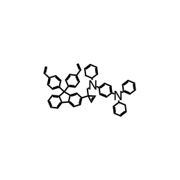 C=Cc1ccc(C2(c3ccc(C=C)cc3)c3ccccc3-c3ccc(C4(CN(c5ccc(N(c6ccccc6)C6C=CC=CC6)cc5)C5C=CC=CC5)C=C4)cc32)cc1